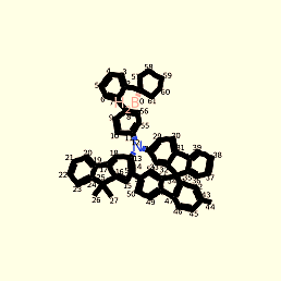 BC1(c2ccccc2-c2ccc(N(c3ccc4c(c3)-c3ccccc3C4(C)C)c3ccc4c(c3)C3(c5ccccc5-4)c4cc(C)ccc4-c4ccc(C)cc43)cc2)CCCCC1